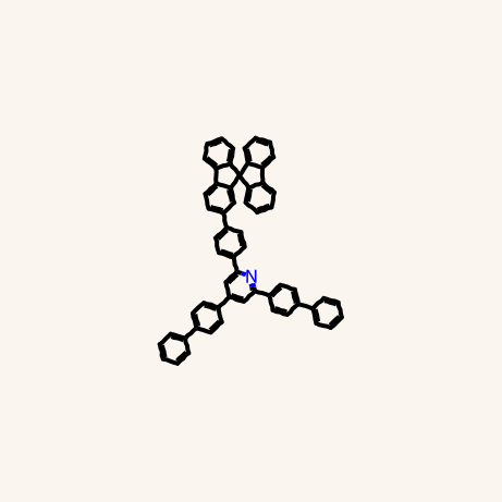 c1ccc(-c2ccc(-c3cc(-c4ccc(-c5ccccc5)cc4)nc(-c4ccc(-c5ccc6c(c5)C5(c7ccccc7-c7ccccc75)c5ccccc5-6)cc4)c3)cc2)cc1